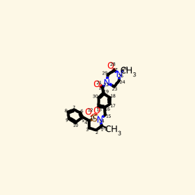 C[C@H]1CCC(c2ccccc2)S(=O)(=O)N1Cc1ccc(C(=O)N2CCN(C)C(=O)C2)cc1